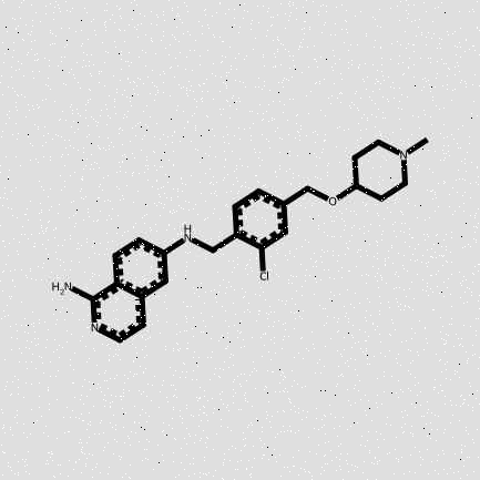 CN1CCC(OCc2ccc(CNc3ccc4c(N)nccc4c3)c(Cl)c2)CC1